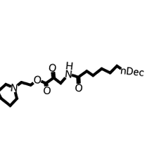 CCCCCCCCCCCCCCCC(=O)NCC(=O)C(=O)OCCN1CCCCC1